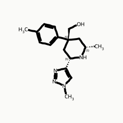 Cc1ccc([C@@]2(CO)C[C@@H](c3cn(C)nn3)N[C@@H](C)C2)cc1